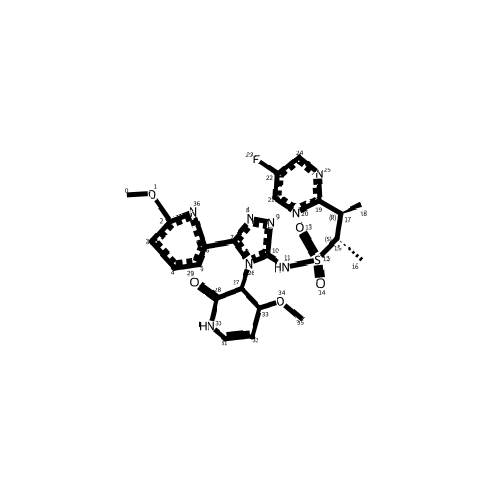 COc1cccc(-c2nnc(NS(=O)(=O)[C@@H](C)[C@H](C)c3ncc(F)cn3)n2C2C(=O)NC=CC2OC)n1